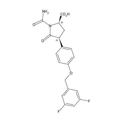 NC(=O)N1C(=O)[C@H](c2ccc(OCc3cc(F)cc(F)c3)cc2)C[C@@H]1C(=O)O